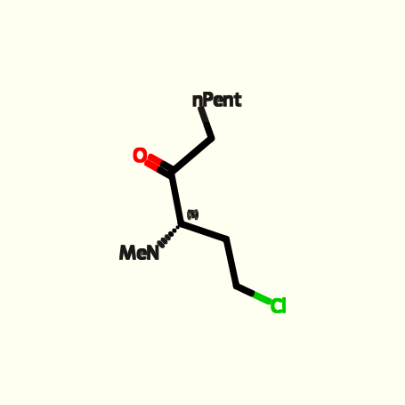 CCCCCCC(=O)[C@H](CCCl)NC